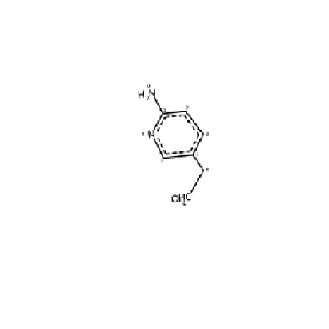 Nc1ccc(CC=O)cn1